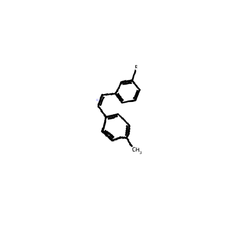 Cc1ccc(/C=C\c2cccc(F)c2)cc1